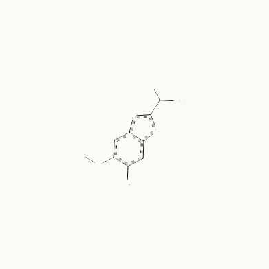 COc1cc2sc(C(O)O)nc2cc1Br